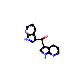 O=C(c1c[nH]c2ncccc12)c1c[nH]c2ncccc12